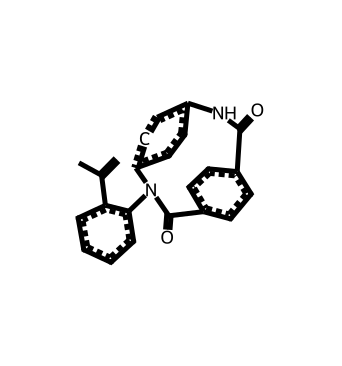 C=C(C)c1ccccc1N1C(=O)c2ccc(cc2)C(=O)Nc2ccc1cc2